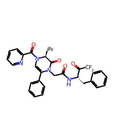 CC(C)[C@H]1C(=O)N(CC(=O)N[C@@H](Cc2ccccc2)C(=O)C(F)(F)F)C(c2ccccc2)=CN1C(=O)c1ccccn1